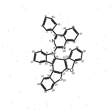 c1ccc(-c2nc(-n3c4ccccc4c4c5c6ccccc6sc5c5oc6ccccc6c5c43)nc3ccccc23)cc1